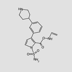 C=CNOC(=O)c1c(-c2cccc(C3CCNCC3)c2)ccn1S(N)(=O)=O